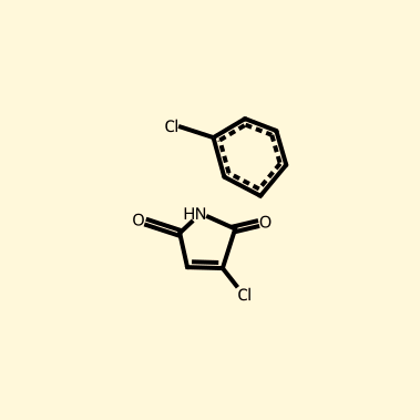 Clc1ccccc1.O=C1C=C(Cl)C(=O)N1